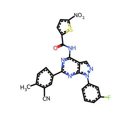 Cc1ccc(-c2nc(NC(=O)c3ccc([N+](=O)[O-])s3)c3cnn(-c4cccc(F)c4)c3n2)cc1C#N